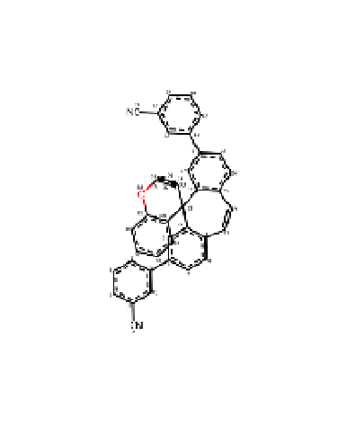 N#Cc1cccc(-c2ccc3c(c2)C2(c4cc(-c5cccc(C#N)c5)ccc4C=C3)c3ccccc3Oc3ccccc32)c1